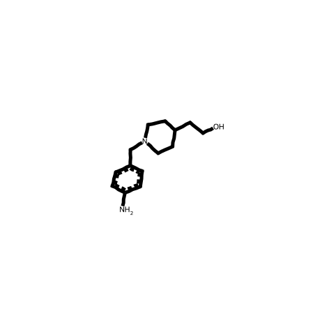 Nc1ccc(CN2CCC(CCO)CC2)cc1